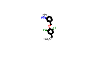 CCCNc1cccc(COc2c(Cl)cc(CC(=O)O)cc2Cl)c1